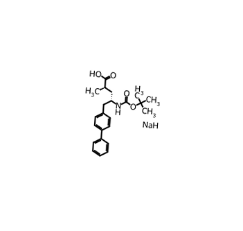 C[C@H](C[C@@H](Cc1ccc(-c2ccccc2)cc1)NC(=O)OC(C)(C)C)C(=O)O.[NaH]